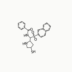 O=C(NC(C1CC(S)CN1)S(=O)(=O)c1ccc2ccccc2c1)c1ccccc1